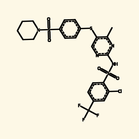 Cc1nc(NS(=O)(=O)c2ccc(C(F)(F)F)cc2Cl)ncc1Sc1ccc(S(=O)(=O)N2CCCCC2)cc1